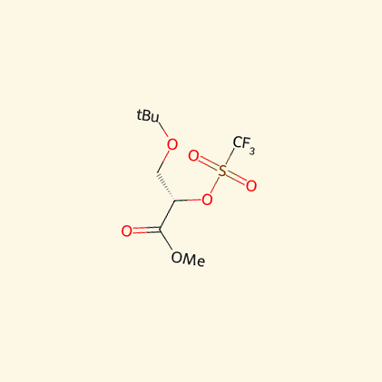 COC(=O)[C@H](COC(C)(C)C)OS(=O)(=O)C(F)(F)F